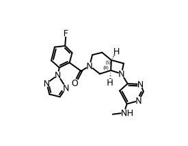 CNc1cc(N2C[C@@H]3CCN(C(=O)c4cc(F)ccc4-n4nccn4)C[C@@H]32)ncn1